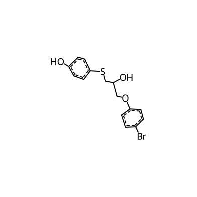 Oc1ccc(SCC(O)COc2ccc(Br)cc2)cc1